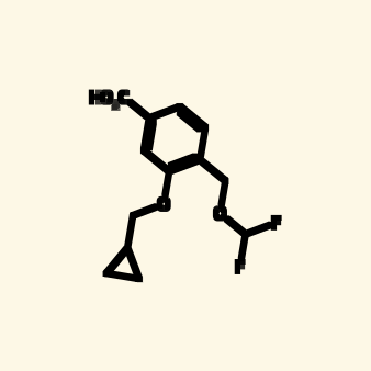 O=C(O)c1ccc(COC(F)F)c(OCC2CC2)c1